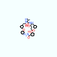 CC(C)C(NC(=O)Cc1cccc(Oc2ccccc2)c1)C(=O)NC(Cc1ccccc1)C(O)CCC(=O)O.NC(=O)c1ccccc1